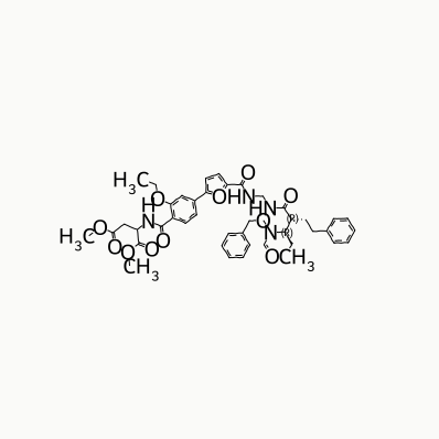 CCOc1cc(-c2ccc(C(=O)NCNC(=O)[C@H](CCc3ccccc3)[C@@H](CC)N(C=O)OCc3ccccc3)o2)ccc1C(=O)NC(CC(=O)OC)C(=O)OC